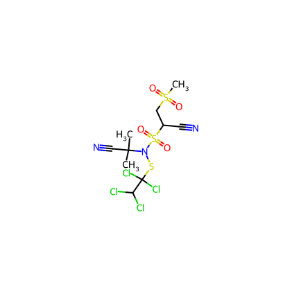 CC(C)(C#N)N(SC(Cl)(Cl)C(Cl)Cl)S(=O)(=O)C(C#N)CS(C)(=O)=O